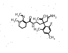 C=NC1=C(C(=O)NCCC(CCN)(C(=C)C)c2c(C)cc(C)cc2F)CCCN1C